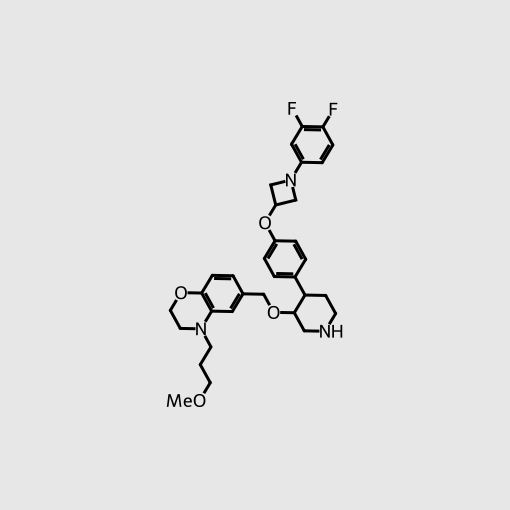 COCCCN1CCOc2ccc(COC3CNCCC3c3ccc(OC4CN(c5ccc(F)c(F)c5)C4)cc3)cc21